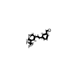 O=Cc1cccc(C=Cc2cncc(C(F)(F)F)c2)c1